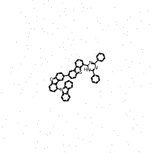 c1ccc(C2=NC(c3cccc4c3sc3ccc(-c5ccc6oc7cccc(-n8c9ccccc9c9ccccc98)c7c6c5)cc34)NC(c3ccccc3)=N2)cc1